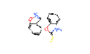 S=c1[nH]c2ccccc2o1.c1ccc2oncc2c1